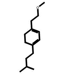 COCCC1=CC=C(CCC(C)C)CC1